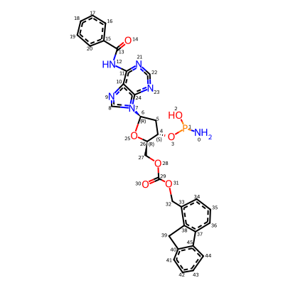 NP(O)O[C@H]1C[C@H](n2cnc3c(NC(=O)c4ccccc4)ncnc32)O[C@@H]1COC(=O)OCc1cccc2c1Cc1ccccc1-2